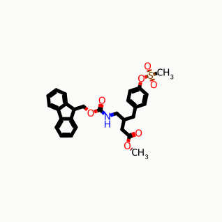 COC(=O)CC(CNC(=O)OCC1c2ccccc2-c2ccccc21)Cc1ccc(OS(C)(=O)=O)cc1